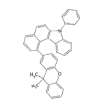 CC1(C)c2ccccc2Oc2ccc(-c3cccc4ccc5c(c6ccccc6n5-c5ccccc5)c34)cc21